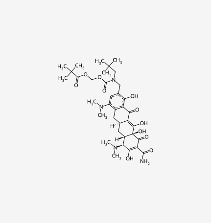 CN(C)c1cc(CN(CC(C)(C)C)C(=O)OCOC(=O)C(C)(C)C)c(O)c2c1C[C@@H]1C[C@H]3[C@H](N(C)C)C(O)=C(C(N)=O)C(=O)[C@@]3(O)C(O)=C1C2=O